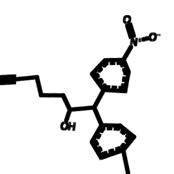 C#CCCCC(O)C(c1ccc(C)cc1)c1ccc([N+](=O)[O-])cc1